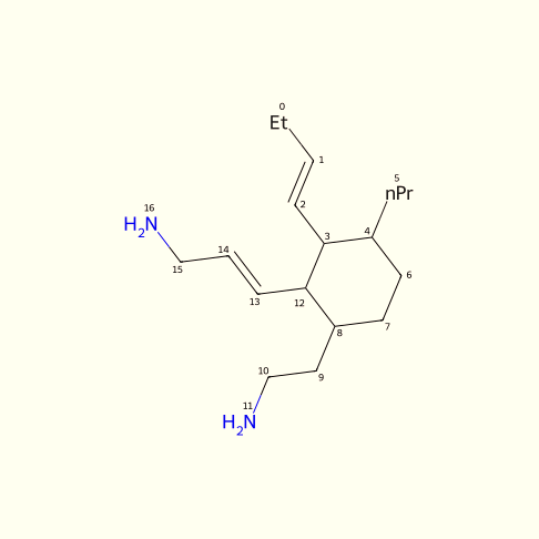 CCC=CC1C(CCC)CCC(CCN)C1C=CCN